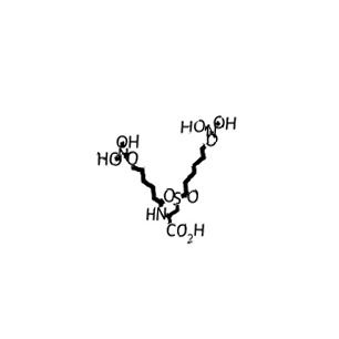 O=C(CCCCCON(O)O)NC(CSC(=O)CCCCCON(O)O)C(=O)O